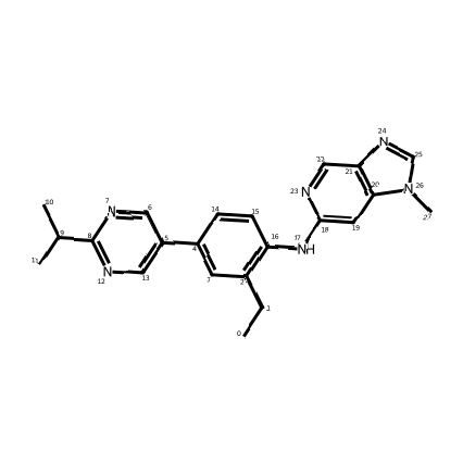 CCc1cc(-c2cnc(C(C)C)nc2)ccc1Nc1cc2c(cn1)ncn2C